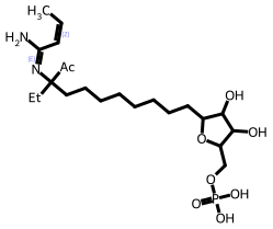 C/C=C\C(N)=N/C(CC)(CCCCCCCCC1OC(COP(=O)(O)O)C(O)C1O)C(C)=O